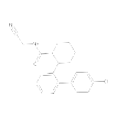 N#CCNC(=O)C1CCCCC1c1ccccc1-c1ccc(Cl)cc1